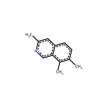 Cc1cc2ccc(C)c(C)c2cn1